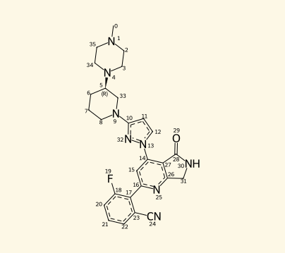 CN1CCN([C@@H]2CCCN(c3ccn(-c4cc(-c5c(F)cccc5C#N)nc5c4C(=O)NC5)n3)C2)CC1